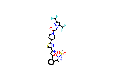 CC(=NNS(C)(=O)=O)c1ccccc1C1CC(c2csc(C3CCN(C(=O)Cn4nc(C(F)F)cc4C(F)F)CC3)n2)=NO1